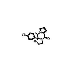 CC1n2cccc2C(=O)N2CCNC12c1ccc(Cl)cc1